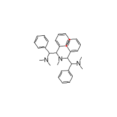 CN(C)C(c1ccccc1)C(c1ccccc1)N(C)C(c1ccccc1)C(c1ccccc1)N(C)C